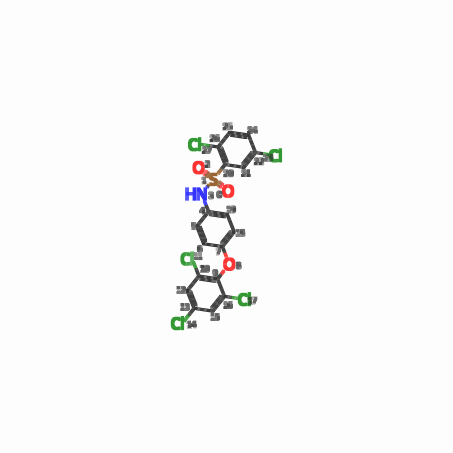 O=S(=O)(Nc1ccc(Oc2c(Cl)cc(Cl)cc2Cl)cc1)c1cc(Cl)ccc1Cl